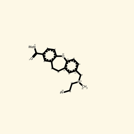 CNC(=O)c1ccc2c(c1)CCc1cc(CN(C)CCC(C)C)ccc1O2